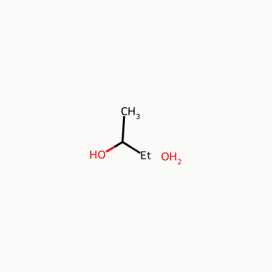 CCC(C)O.O